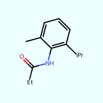 CCC(=O)Nc1c(C)cccc1C(C)C